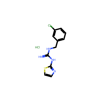 Cl.N=C(NCc1cccc(Cl)c1)Nc1nccs1